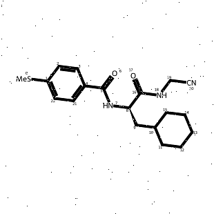 CSc1ccc(C(=O)N[C@H](CC2CCCCC2)C(=O)NCC#N)cc1